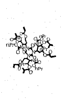 C=CC(=O)OCCC(C(NC(=O)OCCC)C(CCC)OC(=O)C(=C)C)n1c(=O)n(C(CCOC(=O)C=C)C(NC(=O)OCCC)C(CCC)OC(=O)C(=C)C)c(=O)n(C(CCOC(=O)C=C)C(NC(=O)OCCC)C(CCC)OC(=O)C(=C)C)c1=O